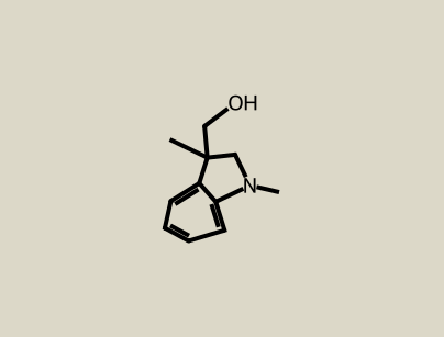 CN1CC(C)(CO)c2ccccc21